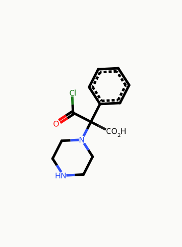 O=C(O)C(C(=O)Cl)(c1ccccc1)N1CCNCC1